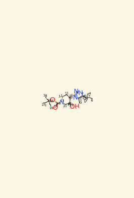 Cc1c([Si](C)(C)C)nnn1[C@H]1CCN(C(=O)OC(C)(C)C)C[C@H]1O